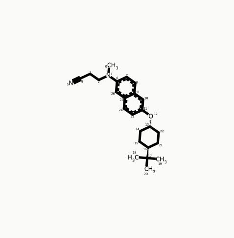 CN(CCC#N)c1ccc2cc(O[C@H]3CC[C@H](C(C)(C)C)CC3)ccc2c1